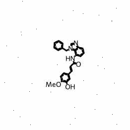 COc1ccc(C=CC(=O)Nc2cccc3ncn(Cc4ccccc4)c23)cc1O